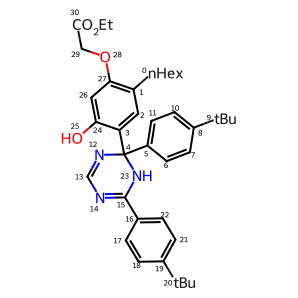 CCCCCCc1cc(C2(c3ccc(C(C)(C)C)cc3)N=CN=C(c3ccc(C(C)(C)C)cc3)N2)c(O)cc1OCC(=O)OCC